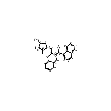 CC(C)C1=CN(C[C@@H]2Cc3ccccc3CN2C(=O)c2cccc3ccccc23)NN1